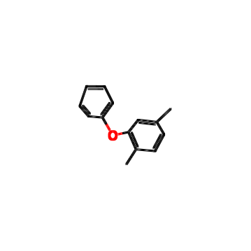 Cc1ccc(C)c(Oc2ccccc2)c1